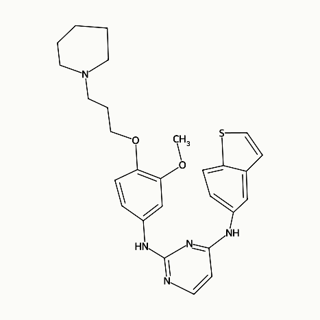 COc1cc(Nc2nccc(Nc3ccc4sccc4c3)n2)ccc1OCCCN1CCCCC1